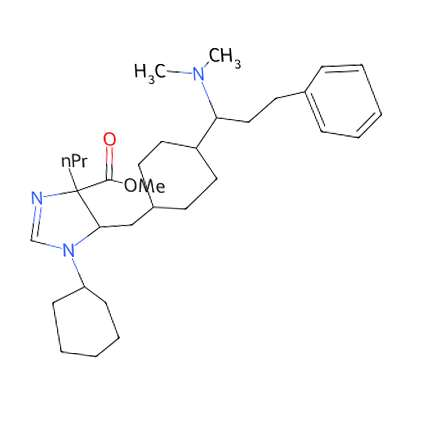 CCCC1(C(=O)OC)N=CN(C2CCCCC2)C1CC1CCC(C(CCc2ccccc2)N(C)C)CC1